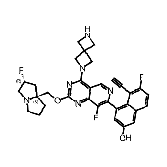 C#Cc1c(F)ccc2cc(O)cc(-c3ncc4c(N5CC6(CNC6)C5)nc(OC[C@@]56CCCN5C[C@H](F)C6)nc4c3F)c12